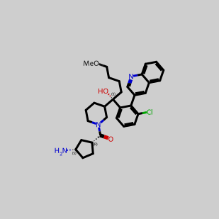 COCCCC[C@@](O)(c1cccc(Cl)c1-c1cnc2ccccc2c1)C1CCCN(C(=O)[C@@H]2CC[C@H](N)C2)C1